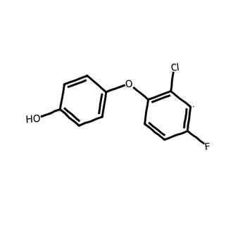 Oc1ccc(Oc2ccc(F)[c]c2Cl)cc1